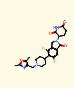 Cc1nc(CN2CCC(c3c(F)cc4c(c3F)CN(C3CCC(=O)NC3=O)C4=O)CC2)c(C)o1